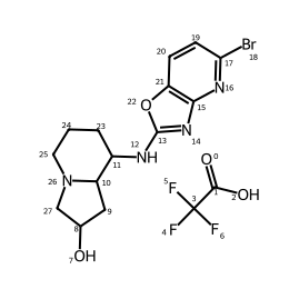 O=C(O)C(F)(F)F.OC1CC2C(Nc3nc4nc(Br)ccc4o3)CCCN2C1